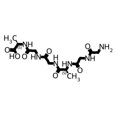 C[C@H](NC(=O)CNC(=O)CNC(=O)[C@H](C)NC(=O)CNC(=O)CN)C(=O)O